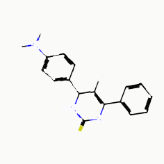 CCOC(=O)C1=C(c2ccccc2)NC(=S)NC1c1ccc(N(CC)CC)cc1